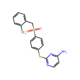 Nc1ccnc(Sc2ccc(S(=O)(=O)Cc3ccccc3C(F)(F)F)cc2)n1